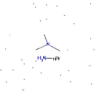 CN(C)C.[CH2]CCN